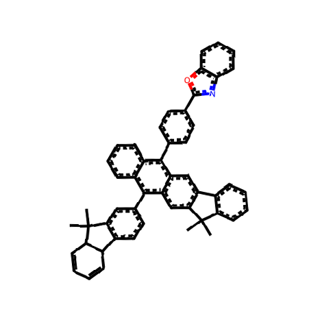 CC1(C)c2ccccc2-c2cc3c(-c4ccc(-c5nc6ccccc6o5)cc4)c4ccccc4c(-c4ccc5c(c4)C(C)(C)C4C=CC=CC54)c3cc21